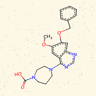 COc1cc2c(N3CCCN(C(=O)O)CC3)ncnc2cc1OCc1ccccc1